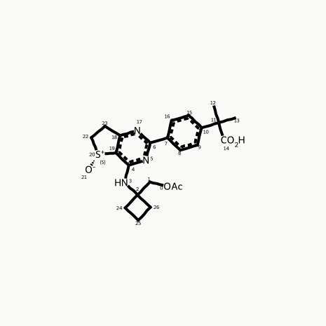 CC(=O)OCC1(Nc2nc(-c3ccc(C(C)(C)C(=O)O)cc3)nc3c2[S@+]([O-])CC3)CCC1